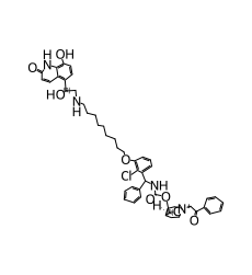 O=C(NC(c1ccccc1)c1cccc(OCCCCCCCCCNC[C@H](O)c2ccc(O)c3[nH]c(=O)ccc23)c1Cl)O[C@H]1C[N+]2(CC(=O)c3ccccc3)CCC1CC2